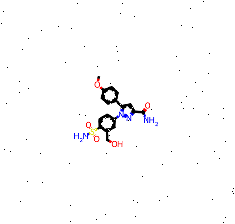 COc1ccc(-c2cc(C(N)=O)nn2-c2ccc(S(N)(=O)=O)c(CO)c2)cc1